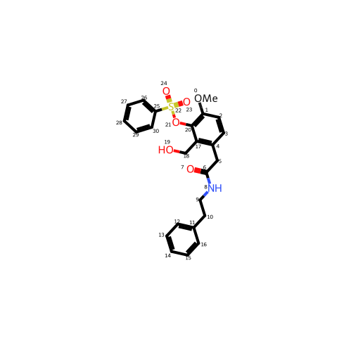 COc1ccc(CC(=O)NCCc2ccccc2)c(CO)c1OS(=O)(=O)c1ccccc1